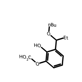 CCCCOC(CC)c1cccc(OC(=O)O)c1O